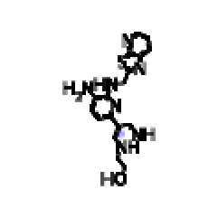 N=C/C(=C\NCCO)c1ccc(N)c(NCc2nc3cccnc3s2)n1